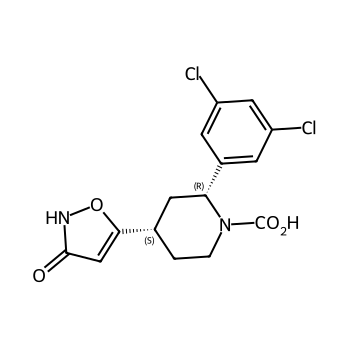 O=C(O)N1CC[C@H](c2cc(=O)[nH]o2)C[C@@H]1c1cc(Cl)cc(Cl)c1